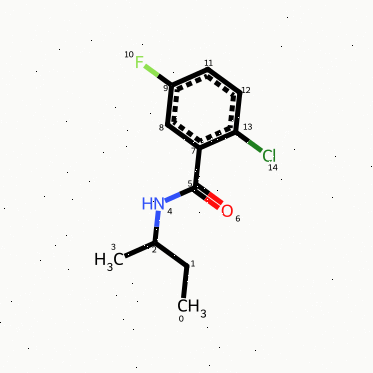 CCC(C)NC(=O)c1cc(F)ccc1Cl